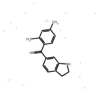 Cc1ccc(C(=N)c2ccc3c(c2)NCC3)c(N)c1